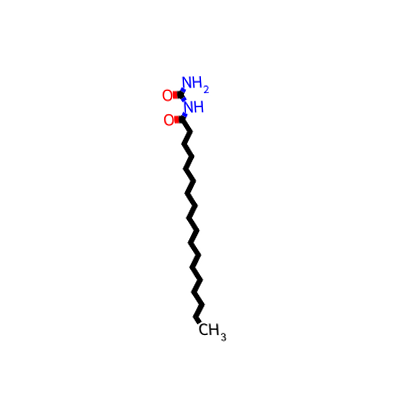 CCCCCCCCCCCCCCCCCC(=O)NC(N)=O